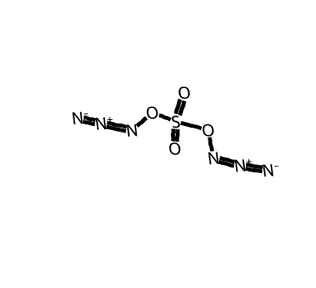 [N-]=[N+]=NOS(=O)(=O)ON=[N+]=[N-]